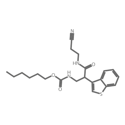 CCCCCCOC(=O)NCC(C(=O)NCCC#N)c1csc2ccccc12